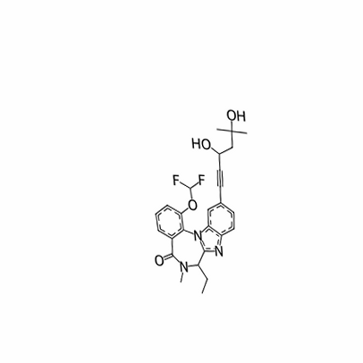 CCC1c2nc3ccc(C#CC(O)CC(C)(C)O)cc3n2-c2c(OC(F)F)cccc2C(=O)N1C